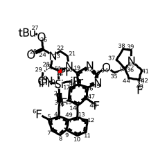 CC(C)[Si](C#Cc1c(F)ccc2cccc(-c3c(F)cc4c(N5CCN(C(=O)OC(C)(C)C)[C@@H](CC#N)C5)nc(OC[C@@]56CCCN5C[C@H](F)C6)nc4c3F)c12)(C(C)C)C(C)C